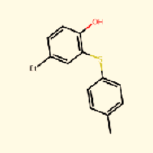 CCc1ccc(O)c(Sc2ccc(C)cc2)c1